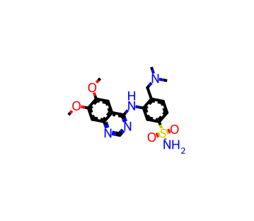 COc1cc2ncnc(Nc3cc(S(N)(=O)=O)ccc3CN(C)C)c2cc1OC